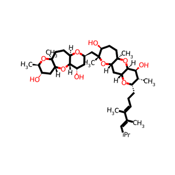 CC(=C\CC[C@@H]1O[C@@H]2C[C@@H]3O[C@](C)(C[C@H]4C[C@H](O)[C@@H]5O[C@@H]6C[C@H](O)[C@@H](C)O[C@@]6(C)CC[C@H]5O4)[C@@H](O)CC[C@@]3(C)O[C@H]2[C@@H](O)[C@@H]1C)/C(C)=C/C(C)C